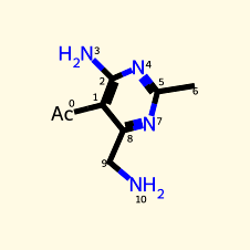 CC(=O)c1c(N)nc(C)nc1CN